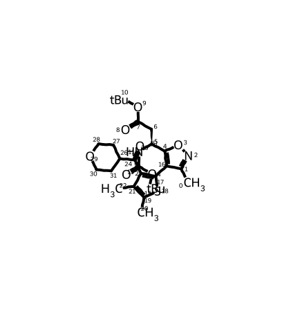 Cc1noc([C@H](CC(=O)OC(C)(C)C)NC(=O)OC(C)(C)C)c1-c1sc(C)c(C)c1C(=O)C1CCOCC1